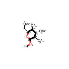 CCOC1O[C@H](COC(C)=O)[C@@H](OC(C)=O)[C@H](OC(C)=O)[C@H]1OC(C)=O